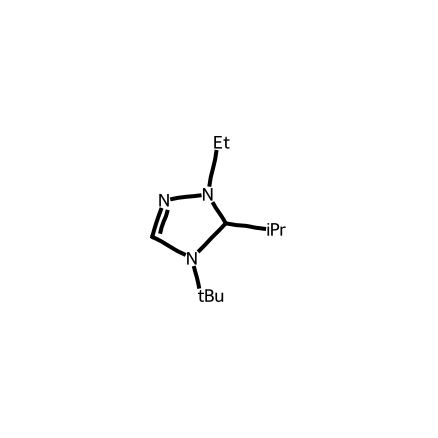 CCN1N=CN(C(C)(C)C)C1C(C)C